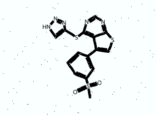 CS(=O)(=O)c1cccc(-c2csc3ncnc(Sc4c[nH]nn4)c23)c1